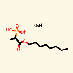 CCCCCCCCOC(=O)C(C)P(=O)(O)O.[NaH]